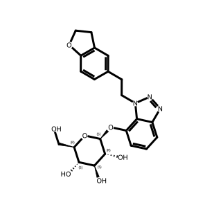 OC[C@H]1O[C@@H](Oc2cccc3nnn(CCc4ccc5c(c4)CCO5)c23)[C@H](O)[C@@H](O)[C@@H]1O